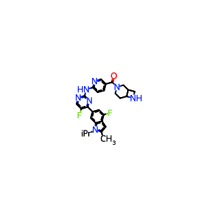 Cc1cc2c(F)cc(-c3nc(Nc4ccc(C(=O)N5CCC6NCC6C5)cn4)ncc3F)cc2n1C(C)C